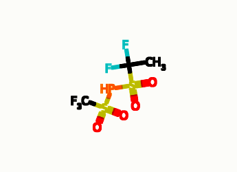 CC(F)(F)S(=O)(=O)PS(=O)(=O)C(F)(F)F